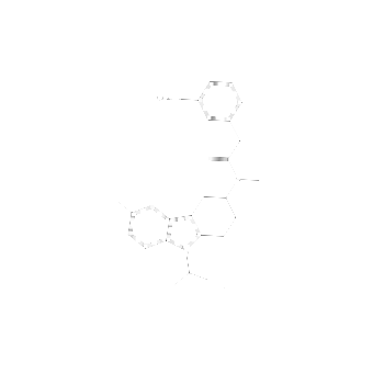 CCC(C(=O)O)n1c2c(c3cc(F)ccc31)CC(N(C)C(=O)Cc1cccc(OC)c1)CC2